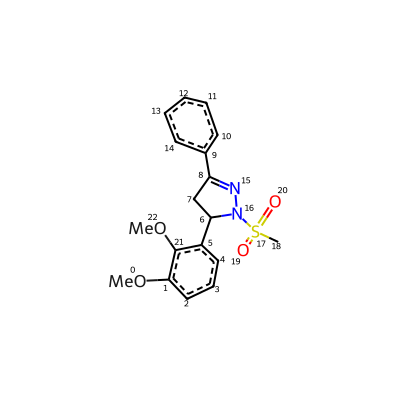 COc1cccc(C2CC(c3ccccc3)=NN2S(C)(=O)=O)c1OC